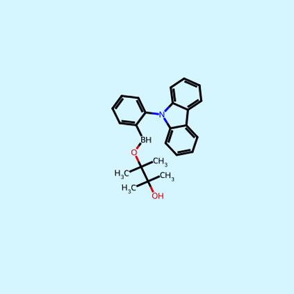 CC(C)(O)C(C)(C)OBc1ccccc1-n1c2ccccc2c2ccccc21